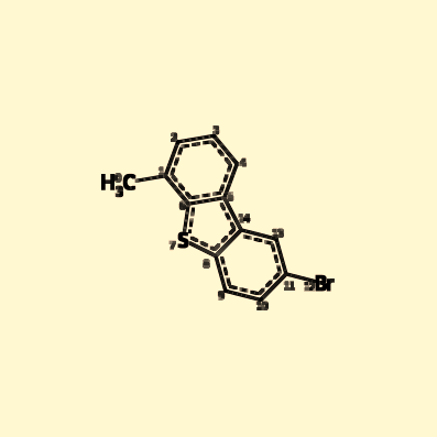 Cc1cccc2c1sc1ccc(Br)cc12